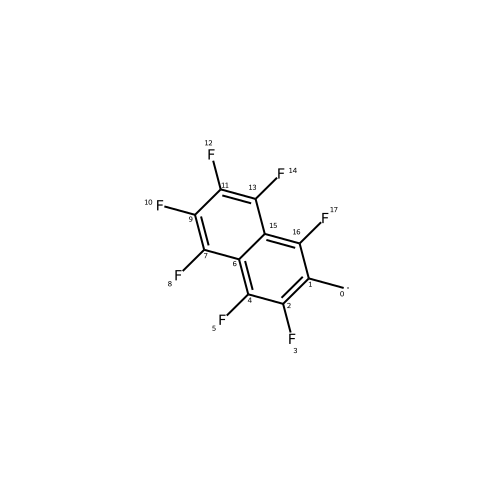 [CH2]c1c(F)c(F)c2c(F)c(F)c(F)c(F)c2c1F